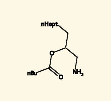 CCCCCCCCC(CN)OC(=O)CCCC